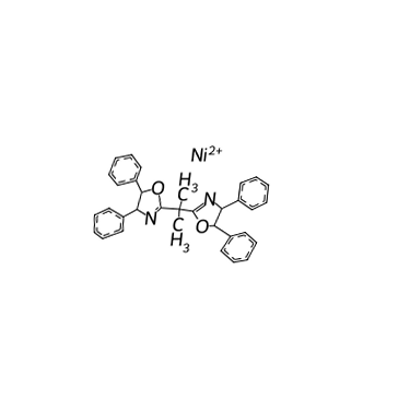 CC(C)(C1=NC(c2ccccc2)C(c2ccccc2)O1)C1=NC(c2ccccc2)C(c2ccccc2)O1.[Ni+2]